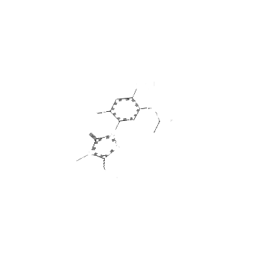 C[C@H](Oc1cc(-n2nc(C(F)(F)F)n(Cl)c2=O)c(F)cc1C(=O)O)C(F)(F)F